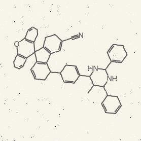 CC1C(C2=CCC(C3CC=CC4=C3C3=C(CCC(C#N)=C3)C43C4=C(CCC=C4)OC4=C3CCC=C4)C=C2)NC(C2=CCCC=C2)NC1C1C=CC=CC1